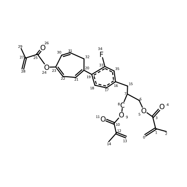 C=C(C)C(=O)OCC(COC(=O)C(=C)C)Cc1ccc(C2=CC=C(OC(=O)C(=C)C)C=CC2)c(F)c1